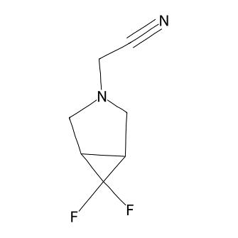 N#CCN1CC2C(C1)C2(F)F